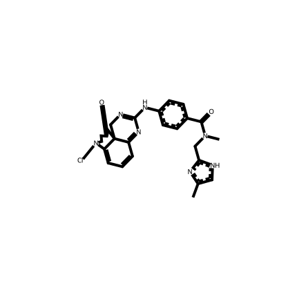 Cc1c[nH]c(CN(C)C(=O)c2ccc(NC3=NCC45CC(=O)CCN(Cl)C4=CC=CC5=N3)cc2)n1